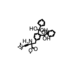 COC(=O)C(N)(C#C[Si](C)(C)C)Cc1ccc(C(O)(O)c2ccccc2)c(C(O)(O)c2ccccc2)c1